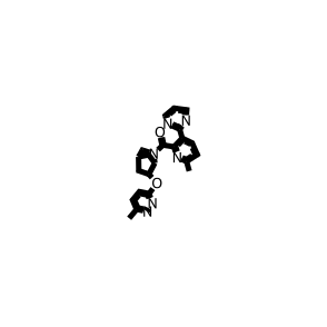 Cc1ccc(OC2CC3CC2N(C(=O)c2nc(C)ccc2-c2ncccn2)C3)nn1